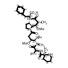 CC[C@H](C)[C@@H]([C@@H](CC(=O)N1CCC[C@H]1[C@H](OC)[C@@H](C)C(=O)N[C@@H](Cc1ccccc1)C(=O)O)OC)N(C)C(=O)C(NC(=O)[C@]1(C)CCCCN1)C(C)C